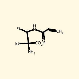 C=CC(=O)NC(CC)C(N)(CC)C(=O)O